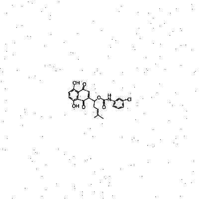 CC(C)=CCC(OC(=O)Nc1cccc(Cl)c1)C1=CC(=O)c2c(O)ccc(O)c2C1=O